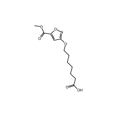 COC(=O)c1cc(OCCCCCCC(=O)O)no1